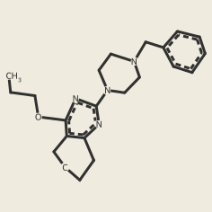 CCCOc1nc(N2CCN(Cc3ccccc3)CC2)nc2c1CCCC2